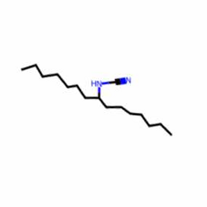 CCCCCCCC(CCCCCCC)NC#N